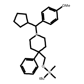 COc1ccc(C(C2CCCC2)N2CCC(CO[Si](C)(C)C(C)(C)C)(c3ccccc3)CC2)cc1